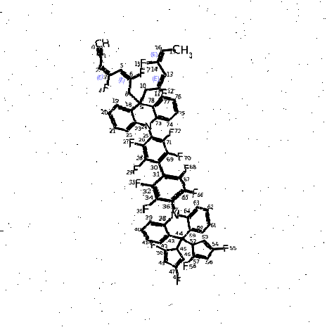 C#C/C=C(F)\C=C(\F)CC1(C/C(F)=C\C(F)=C/C)c2ccccc2N(c2c(F)c(F)c(-c3c(F)c(F)c(N4c5ccccc5C(C5C=C(F)C=C5F)(C5C=C(F)C=C5F)c5ccccc54)c(F)c3F)c(F)c2F)c2ccccc21